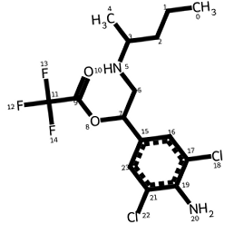 CCCC(C)NCC(OC(=O)C(F)(F)F)c1cc(Cl)c(N)c(Cl)c1